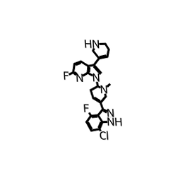 CN1CC(c2n[nH]c3c(Cl)ccc(F)c23)=CCC1n1cc(C2=CCCNC2)c2ccc(F)nc21